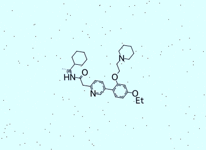 CCOc1ccc(-c2ccc(CC(=O)N[C@H](C)C3CCCCC3)nc2)c(OCCN2CCCCC2)c1